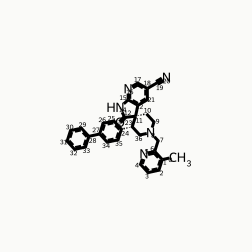 Cc1cccnc1CN1CC[C@@]2(C(=O)Nc3ncc(C#N)cc32)[C@@H](c2ccc(-c3ccccc3)cc2)C1